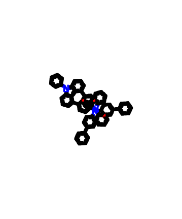 C1=CC(N(c2ccc(-c3ccccc3)cc2)c2ccc(-c3cccc4c3c3c(-c5ccc6c(c5)c5ccccc5n6-c5ccccc5)cccc3n4-c3ccccc3)cc2)CC=C1c1ccccc1